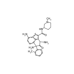 Cc1ccccc1C1(N)C(=O)C(N)c2c(C(=O)NC3CCCN(C)C3)sc3c(N)ccc1c23